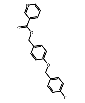 O=C(OCc1ccc(OCc2ccc(Cl)cc2)cc1)c1cccnc1